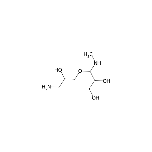 CNC(OCC(O)CN)C(O)CO